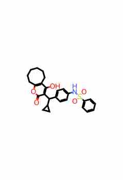 O=c1oc2c(c(O)c1C(c1ccc(NS(=O)(=O)c3ccccc3)cc1)C1CC1)CCCCCC2